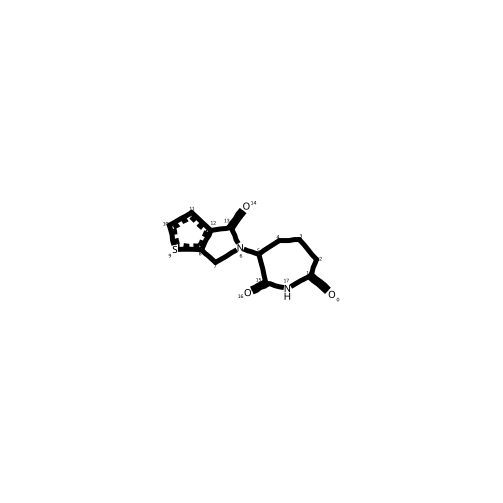 O=C1CCCC(N2Cc3sccc3C2=O)C(=O)N1